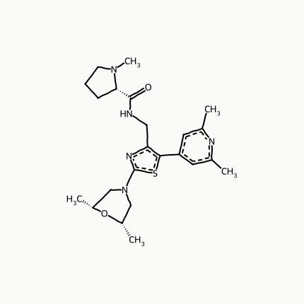 Cc1cc(-c2sc(N3C[C@@H](C)O[C@@H](C)C3)nc2CNC(=O)[C@@H]2CCCN2C)cc(C)n1